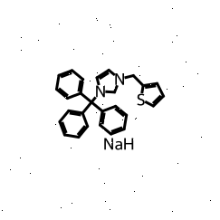 C1=CN(C(c2ccccc2)(c2ccccc2)c2ccccc2)CN1Cc1cccs1.[NaH]